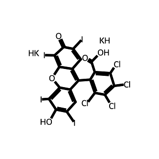 O=C(O)c1c(Cl)c(Cl)c(Cl)c(Cl)c1-c1c2cc(I)c(=O)c(I)c-2oc2c(I)c(O)c(I)cc12.[KH].[KH]